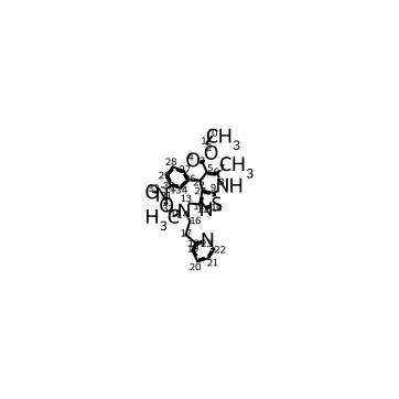 CCOC(=O)C1=C(C)Nc2snc(CN(C)CCc3ccccn3)c2C1c1cccc([N+](=O)[O-])c1